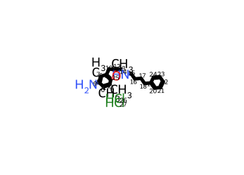 Cc1c(C)c2c(c(C)c1N)CC(C)(CNCCCCc1ccccc1)O2.Cl.Cl